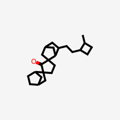 CC1CCC1CCC1CC2CC1C1(CCC3(CC4CCC3C4)C1=O)C2